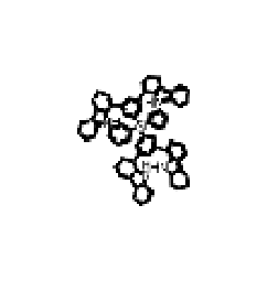 c1ccc([Si](c2ccccc2)(c2cc(-c3cccc4c3[nH]c3ccccc34)cc(-c3cccc4c3[nH]c3ccccc34)c2)c2cc(-c3cccc4c3[nH]c3ccccc34)cc(-c3cccc4c3[nH]c3ccccc34)c2)cc1